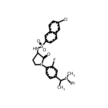 CC(C)N(C)C(C)c1ccc(N2CCC(NS(=O)(=O)c3ccc4cc(Cl)ccc4c3)C2=O)c(F)c1